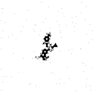 CN(C(=O)C1CC1)N(Cc1nc2cc(C(F)(F)F)ccc2n1C)C(=O)c1ccc2nc(N)c3cnn(C)c3c2c1